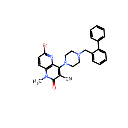 Cn1c(=O)c(C#N)c(N2CCN(Cc3ccccc3-c3ccccc3)CC2)c2nc(Br)ccc21